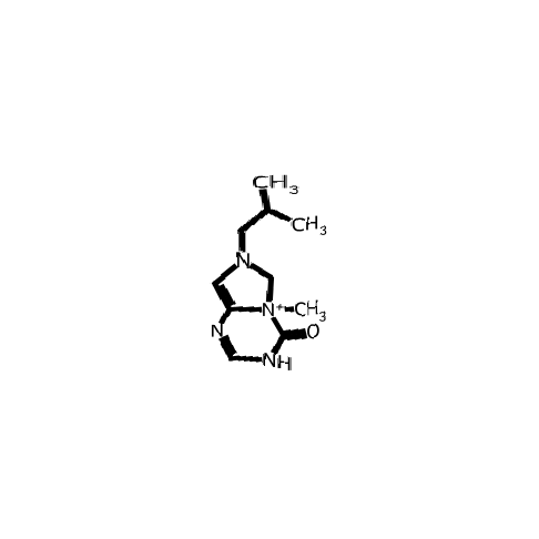 CC(C)CN1C=C2N=CNC(=O)[N+]2(C)C1